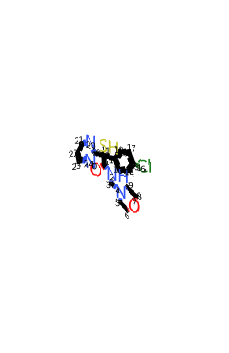 O=C(NCN1CCOCC1)C(S)(c1ccc(Cl)cc1)c1ncccn1